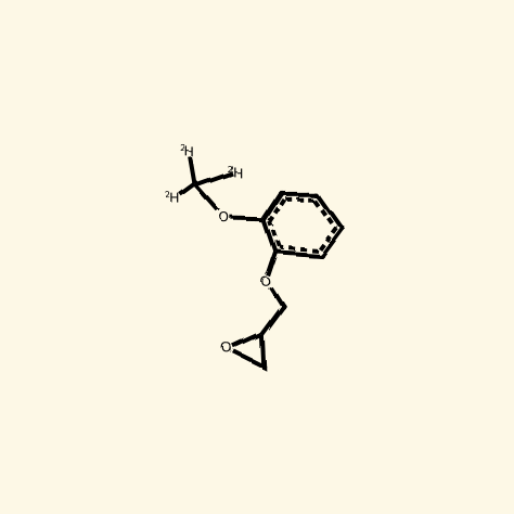 [2H]C([2H])([2H])Oc1ccccc1OCC1CO1